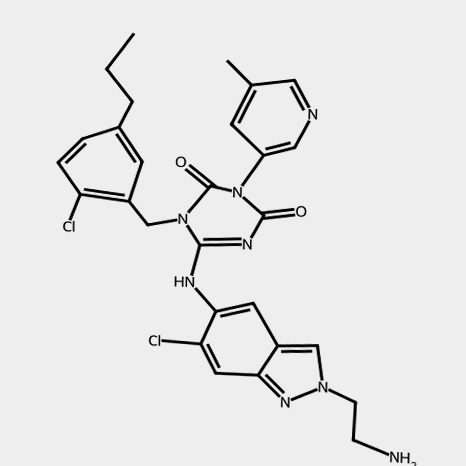 CCCc1ccc(Cl)c(Cn2c(Nc3cc4cn(CCN)nc4cc3Cl)nc(=O)n(-c3cncc(C)c3)c2=O)c1